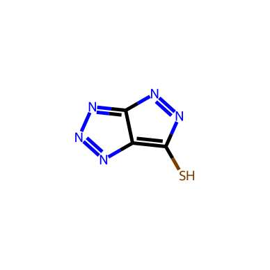 SC1=C2N=NN=C2N=N1